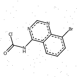 O=C(Cl)Nc1ncnc2c(Br)cccc12